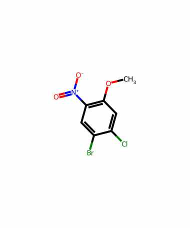 COc1cc(Cl)c(Br)cc1[N+](=O)[O-]